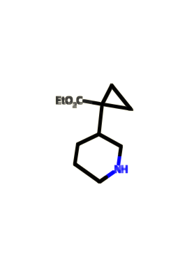 CCOC(=O)C1(C2CCCNC2)CC1